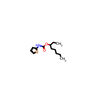 CCCCCC(CC)OC(=O)Nc1cccs1